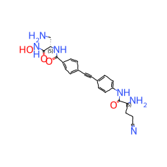 N#CCC[C@H](N)C(=O)Nc1ccc(C#Cc2ccc(C(=O)N[C@@H](CN)C(=O)NO)cc2)cc1